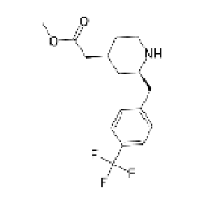 COC(=O)C[C@H]1CCN[C@@H](Cc2ccc(C(F)(F)F)cc2)C1